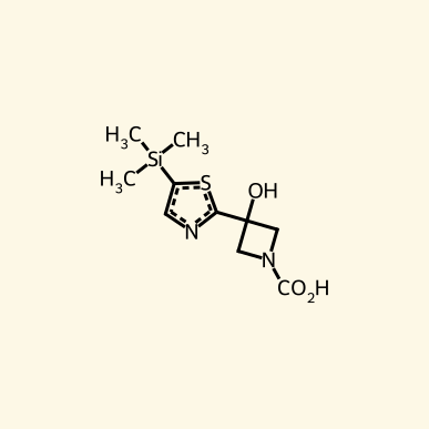 C[Si](C)(C)c1cnc(C2(O)CN(C(=O)O)C2)s1